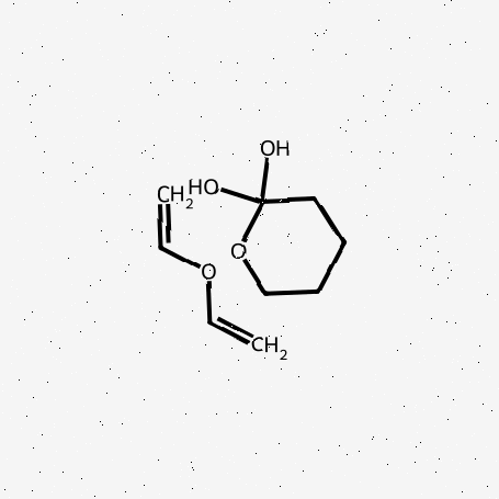 C=COC=C.OC1(O)CCCCO1